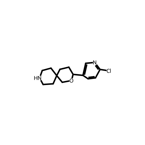 Clc1ccc(C2CCC3(CCNCC3)CO2)cn1